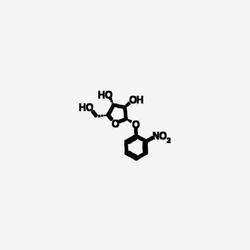 O=[N+]([O-])c1ccccc1O[C@@H]1O[C@H](CO)[C@H](O)[C@H]1O